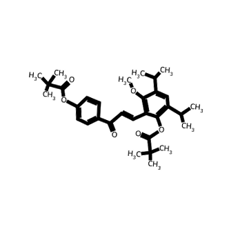 COc1c(C(C)C)cc(C(C)C)c(OC(=O)C(C)(C)C)c1C=CC(=O)c1ccc(OC(=O)C(C)(C)C)cc1